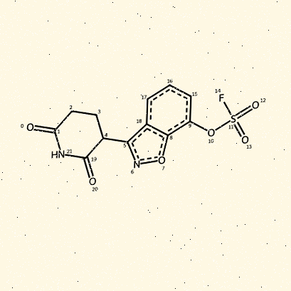 O=C1CCC(c2noc3c(OS(=O)(=O)F)cccc23)C(=O)N1